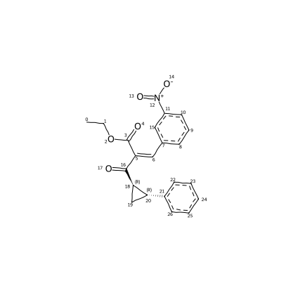 CCOC(=O)C(=Cc1cccc([N+](=O)[O-])c1)C(=O)[C@@H]1C[C@H]1c1ccccc1